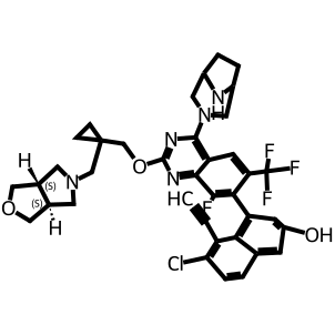 C#Cc1c(Cl)ccc2cc(O)cc(-c3c(C(F)(F)F)cc4c(N5CC6CCC(C5)N6)nc(OCC5(CN6C[C@H]7COC[C@@H]7C6)CC5)nc4c3F)c12